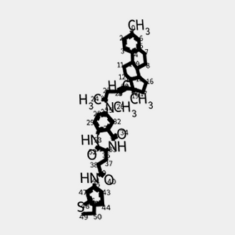 Cc1ccc2c(c1)CCC1C2CC[C@@]2(C)C1CCC2(C)C#CCC(C)N(C)c1ccc2c(c1)C(=O)NC(CCC(=O)Nc1ccc3c(c1)SCC3)C(=O)N2